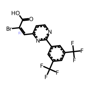 O=C(O)/C(Br)=C\c1ccnc(-c2cc(C(F)(F)F)cc(C(F)(F)F)c2)n1